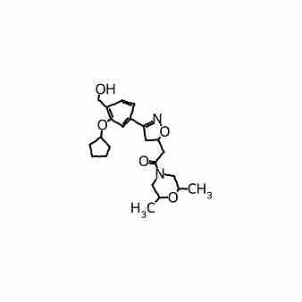 CC1CN(C(=O)CC2CC(c3ccc(CO)c(OC4CCCC4)c3)=NO2)CC(C)O1